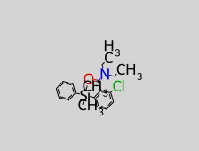 CCN(CC)C(=O)c1c(Cl)cccc1[Si](C)(C)c1ccccc1